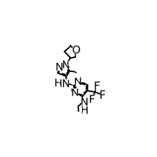 CCNc1nc(Nc2cnn(C3CCOC3)c2C)ncc1C(F)(F)F